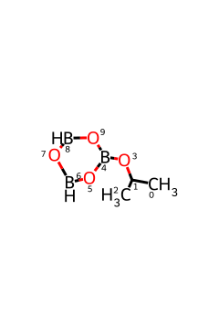 CC(C)OB1OBOBO1